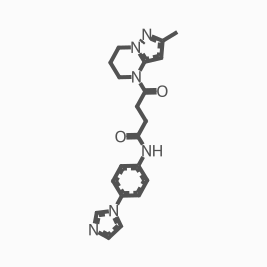 Cc1cc2n(n1)CCCN2C(=O)CCC(=O)Nc1ccc(-n2ccnc2)cc1